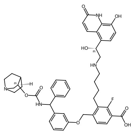 O=C(NC(c1ccccc1)c1cccc(OCc2ccc(C(=O)O)c(F)c2CCCCNC[C@H](O)c2ccc(O)c3[nH]c(=O)ccc23)c1)O[C@H]1CN2CCC1CC2